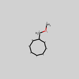 [SiH3]O[SiH2]C1CCCCCCC1